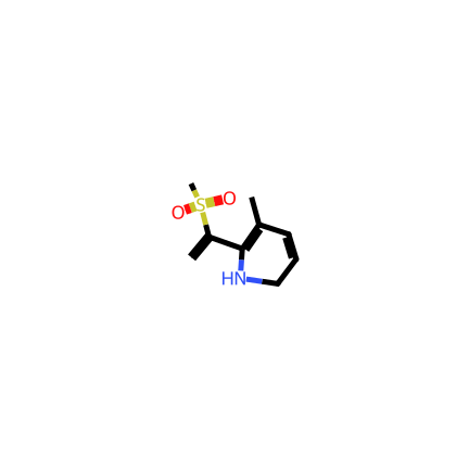 C=C(C1=C(C)C=CCN1)S(C)(=O)=O